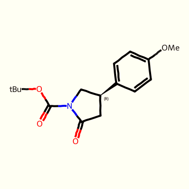 COc1ccc([C@H]2CC(=O)N(C(=O)OC(C)(C)C)C2)cc1